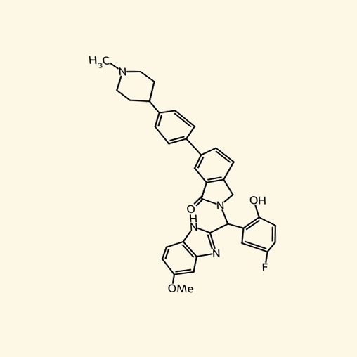 COc1ccc2[nH]c(C(c3cc(F)ccc3O)N3Cc4ccc(-c5ccc(C6CCN(C)CC6)cc5)cc4C3=O)nc2c1